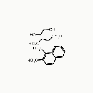 O=C(O)CCC(=O)O.O=C(O)c1ccc2ccccc2c1C(=O)O.OCCO